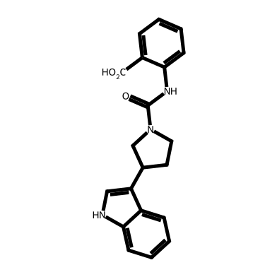 O=C(O)c1ccccc1NC(=O)N1CCC(c2c[nH]c3ccccc23)C1